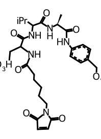 CC(=O)OCc1ccc(NC(=O)[C@H](C)NC(=O)C(NC(=O)C(CS(=O)(=O)O)NC(=O)CCCCCN2C(=O)C=CC2=O)C(C)C)cc1